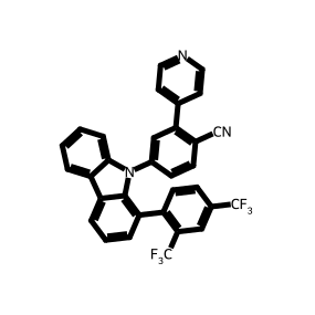 N#Cc1ccc(-n2c3ccccc3c3cccc(-c4ccc(C(F)(F)F)cc4C(F)(F)F)c32)cc1-c1ccncc1